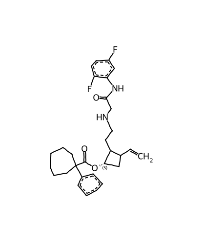 C=CC1C[C@H](OC(=O)C2(c3ccccc3)CCCCCC2)C1CCNCC(=O)Nc1cc(F)ccc1F